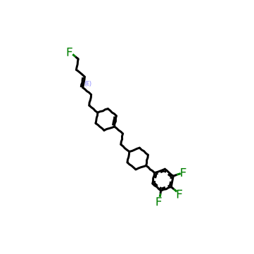 FCC/C=C/CCC1CC=C(CCC2CCC(c3cc(F)c(F)c(F)c3)CC2)CC1